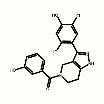 O=C(c1cccc(O)c1)N1CCc2[nH]nc(-c3cc(Cl)c(O)cc3O)c2C1